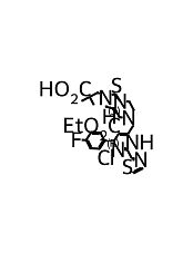 CCOC(=O)C1=C(CN2CCN3C(=S)N(CC(C)(C)C(=O)O)C[C@@H]3C2)NC(c2nccs2)=N[C@H]1c1ccc(F)cc1Cl